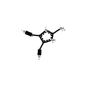 Bc1nc(C#N)c(C#N)[nH]1